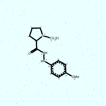 CCOC(=O)N1CCCC1C(=O)NNc1ccc(OC)cc1